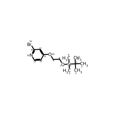 CC(C)(C)[Si](C)(C)OCCOc1ccnc(Br)c1